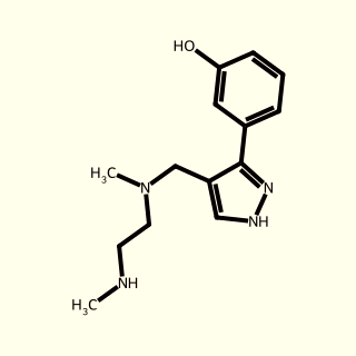 CNCCN(C)Cc1c[nH]nc1-c1cccc(O)c1